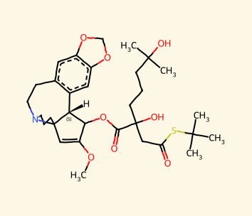 COC1=CC23CCCN2CCc2cc4c(cc2[C@@H]3C1OC(=O)C(O)(CCCC(C)(C)O)CC(=O)SC(C)(C)C)OCO4